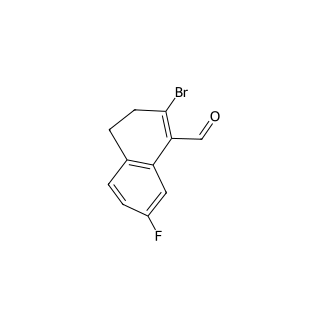 O=CC1=C(Br)CCc2ccc(F)cc21